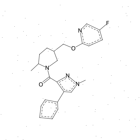 CC1CCC(COc2ccc(F)cn2)CN1C(=O)c1nn(C)cc1-c1ccccc1